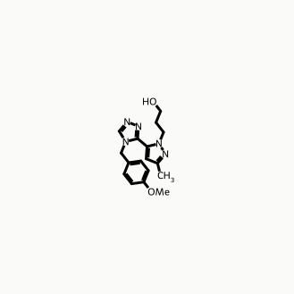 COc1ccc(Cn2cnnc2-c2cc(C)nn2CCCO)cc1